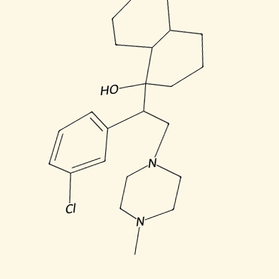 CN1CCN(CC(c2cccc(Cl)c2)C2(O)CCCC3CCCCC32)CC1